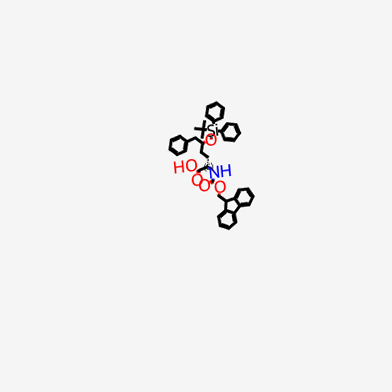 CC(C)(C)[Si](OC(CC[C@H](NC(=O)OCC1c2ccccc2-c2ccccc21)C(=O)O)Cc1ccccc1)(c1ccccc1)c1ccccc1